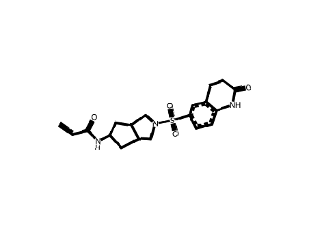 C=CC(=O)NC1CC2CN(S(=O)(=O)c3ccc4c(c3)CCC(=O)N4)CC2C1